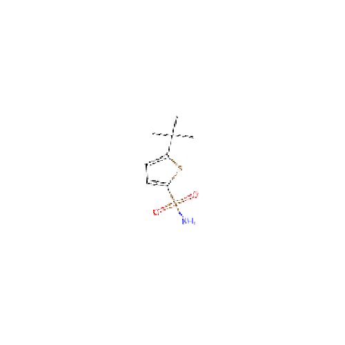 CC(C)(C)c1ccc(S(N)(=O)=O)s1